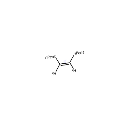 [2H]/C(CCCCC)=C(\[2H])CCCCC